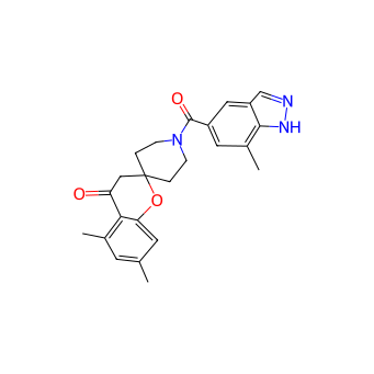 Cc1cc(C)c2c(c1)OC1(CCN(C(=O)c3cc(C)c4[nH]ncc4c3)CC1)CC2=O